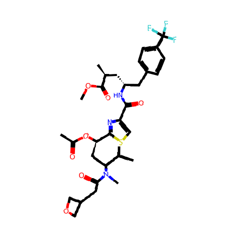 COC(=O)[C@@H](C)C[C@H](Cc1ccc(C(F)(F)F)cc1)NC(=O)c1csc([C@@H](CC(C(C)C)N(C)C(=O)CC2COC2)OC(C)=O)n1